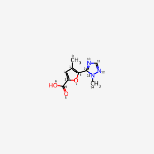 Cc1cc(C(=O)O)oc1-c1ncnn1C